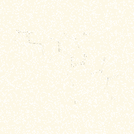 CCCCOCCn1c(CN(CC)C(=O)OC(C)(C)C)nc2c(N)nc3cc(-c4ccn[nH]4)ccc3c21